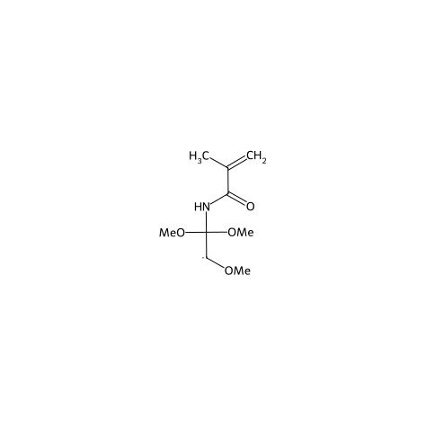 C=C(C)C(=O)NC([CH]OC)(OC)OC